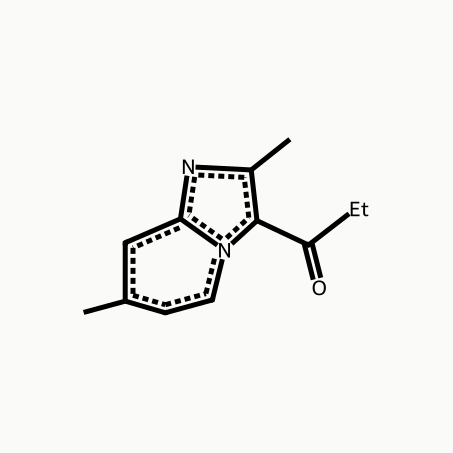 CCC(=O)c1c(C)nc2cc(C)ccn12